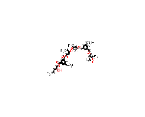 O=C(OCCC(CC(F)(F)F)OOC(CCOCc1cc(COCCC(O)(C(F)(F)F)C(F)(F)F)cc(S(=O)(=O)O)c1)(C(F)(F)F)C(F)(F)F)c1cc(C(=O)OCC(O)CCC(F)(F)F)cc(S(=O)(=O)O)c1